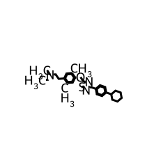 CCN(C)CCc1cc(C)c(Oc2nc(-c3ccc(C4CCCCC4)cc3)ns2)cc1C